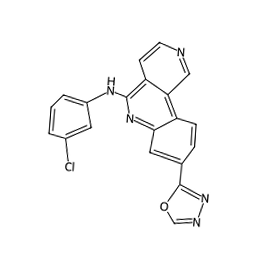 Clc1cccc(Nc2nc3cc(-c4nnco4)ccc3c3cnccc23)c1